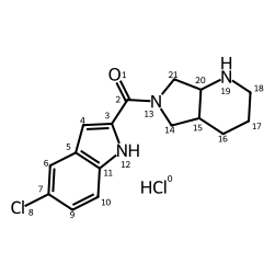 Cl.O=C(c1cc2cc(Cl)ccc2[nH]1)N1CC2CCCNC2C1